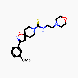 COc1cccc(C2=NOC3(CCN(C(=S)NCCN4CCOCC4)CC3)C2)c1